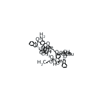 C=CCOC(=O)Nc1cc(OCCCCCOc2cc(N)c(C(=O)N3c4ccccc4C[C@H]3CCC(C)(C)[Si](C)(C)O)cc2OC)c(OC)cc1C(=O)N1c2ccccc2C[C@H]1CO[Si](C)(C)C(C)(C)C